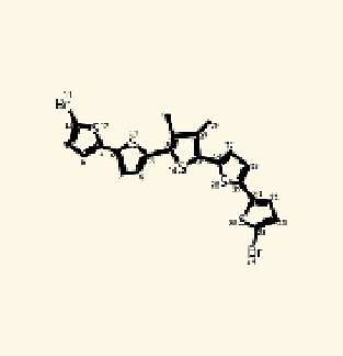 Cc1c(-c2ccc(-c3ccc(Br)s3)s2)sc(-c2ccc(-c3ccc(Br)s3)s2)c1C